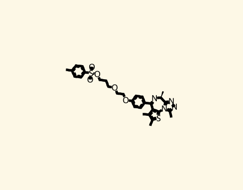 Cc1ccc(S(=O)(=O)OCCCOCCOc2ccc(C3=N[C@@H](C)c4nnc(C)n4-c4sc(C)c(C)c43)cc2)cc1